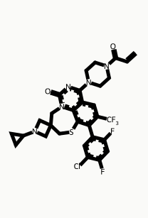 C=CC(=O)N1CCN(c2nc(=O)n3c4c(c(-c5cc(Cl)c(F)cc5F)c(C(F)(F)F)cc24)SCC2(CN(C4CC4)C2)C3)CC1